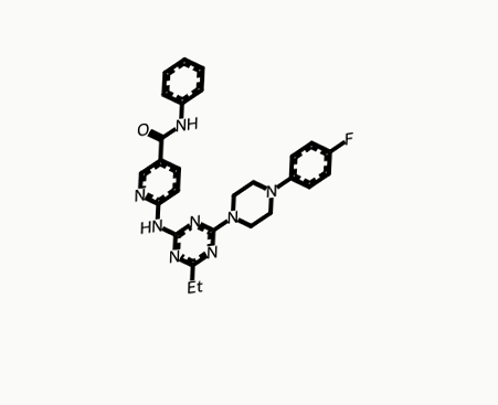 CCc1nc(Nc2ccc(C(=O)Nc3ccccc3)cn2)nc(N2CCN(c3ccc(F)cc3)CC2)n1